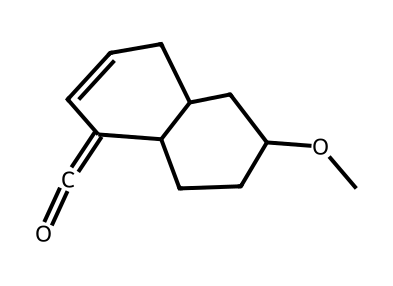 COC1CCC2C(=C=O)C=CCC2C1